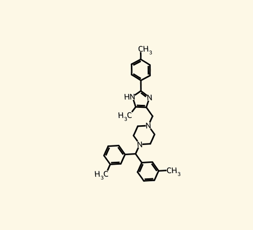 Cc1ccc(-c2nc(CN3CCN(C(c4cccc(C)c4)c4cccc(C)c4)CC3)c(C)[nH]2)cc1